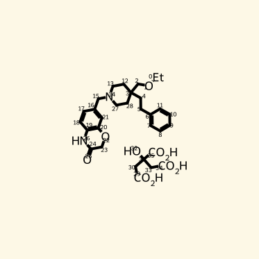 CCOCC1(CCc2ccccc2)CCN(Cc2ccc3c(c2)OCC(=O)N3)CC1.O=C(O)CC(O)(CC(=O)O)C(=O)O